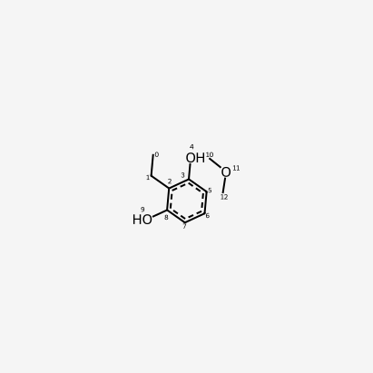 CCc1c(O)cccc1O.COC